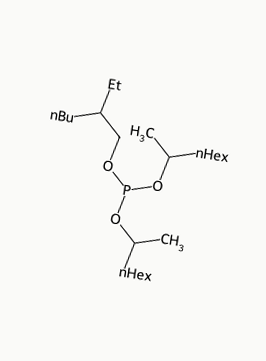 CCCCCCC(C)OP(OCC(CC)CCCC)OC(C)CCCCCC